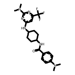 CN(C)c1ccc(C(=O)NC2CCC(Nc3cc(C(F)(F)F)nc(N(C)C)n3)CC2)cc1